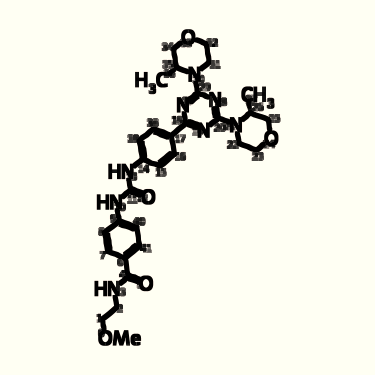 COCCNC(=O)c1ccc(NC(=O)Nc2ccc(-c3nc(N4CCOC[C@@H]4C)nc(N4CCOC[C@@H]4C)n3)cc2)cc1